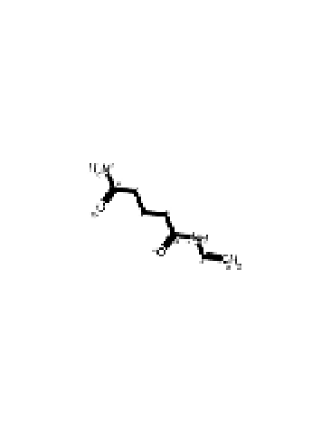 C=CNC(=O)CCCC(N)=O